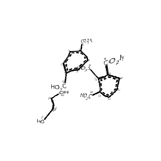 O=C(O)c1ccc(C(=O)O)cc1.O=C(O)c1cccc(C(=O)O)c1S(=O)(=O)O.OCCO